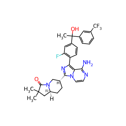 CC1(C)C[C@@H]2CC[C@@H](c3nc(-c4ccc(C(C)(O)c5cccc(C(F)(F)F)c5)cc4F)c4c(N)nccn34)CN2C1=O